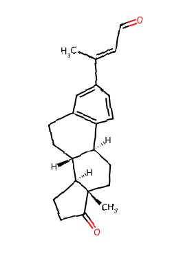 C/C(=C\C=O)c1ccc2c(c1)CC[C@@H]1[C@@H]2CC[C@]2(C)C(=O)CC[C@@H]12